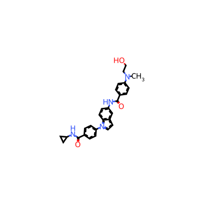 CN(CCO)c1ccc(C(=O)Nc2ccc3c(ccn3-c3ccc(C(=O)NC4CC4)cc3)c2)cc1